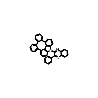 c1ccc(-c2nc3ccccc3nc2-n2c3cccc4c5ccccc5c5ccccc5c5cccc2c5c43)cc1